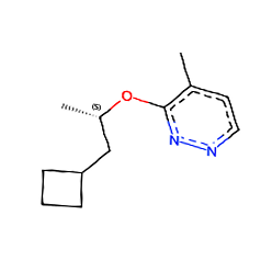 Cc1ccnnc1O[C@@H](C)CC1CCC1